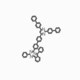 c1ccc(-c2ccc(-c3cc(-c4ccc(-c5ccc(-c6nc(-c7ccccc7)nc7c8ccccc8c(-c8ccccc8)n67)cc5)cc4)nc(-c4ccc(-c5ccccc5)cc4)n3)cc2)cc1